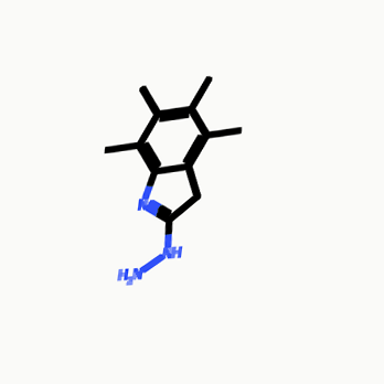 Cc1c(C)c(C)c2c(c1C)CC(NN)=N2